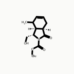 CC1C=CC[C@H]2C(=O)N(C(=O)OC(C)(C)C)[C@H](CO)[C@@H]12